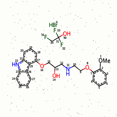 Br.COc1ccccc1OCCNCC(O)COc1cccc2[nH]c3ccccc3c12.OC(F)(F)CF